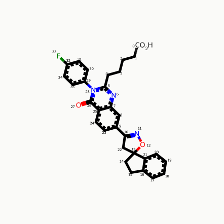 O=C(O)CCCCc1nc2cc(C3=NOC4(CCc5ccccc54)C3)ccc2c(=O)n1-c1ccc(F)cc1